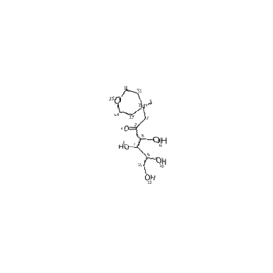 C[N+]1(CC(=O)C(O)C(O)C(O)CO)CCOCC1